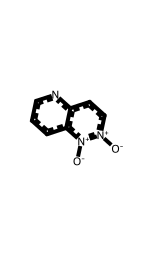 [O-][n+]1ccc2ncccc2[n+]1[O-]